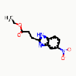 CCOC(=O)CCc1nc2cc([N+](=O)[O-])ccc2[nH]1